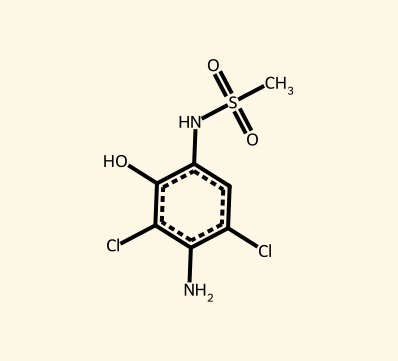 CS(=O)(=O)Nc1cc(Cl)c(N)c(Cl)c1O